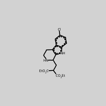 CCOC(=O)C(CC1NCCc2c1[nH]c1ccc(Cl)cc21)C(=O)OCC